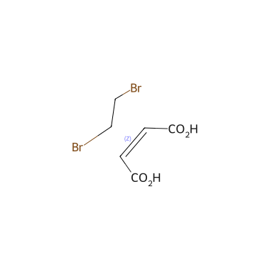 BrCCBr.O=C(O)/C=C\C(=O)O